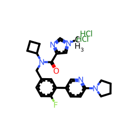 Cl.Cl.Cn1cnc(C(=O)N(Cc2ccc(F)c(-c3ccc(N4CCCC4)nc3)c2)C2CCC2)c1